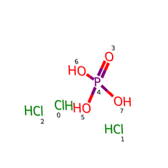 Cl.Cl.Cl.O=P(O)(O)O